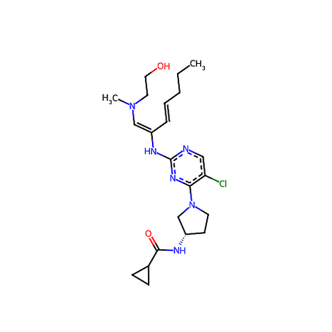 CCC/C=C/C(=C\N(C)CCO)Nc1ncc(Cl)c(N2CC[C@H](NC(=O)C3CC3)C2)n1